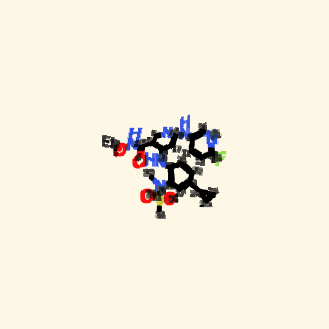 CCONC(=O)c1cnc(Nc2ccc(F)nc2)cc1Nc1ccc(C2CC2)cc1N(C)S(C)(=O)=O